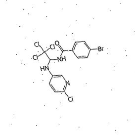 O=C(NC(Nc1ccc(Cl)nc1)C(Cl)(Cl)Cl)c1ccc(Br)cc1